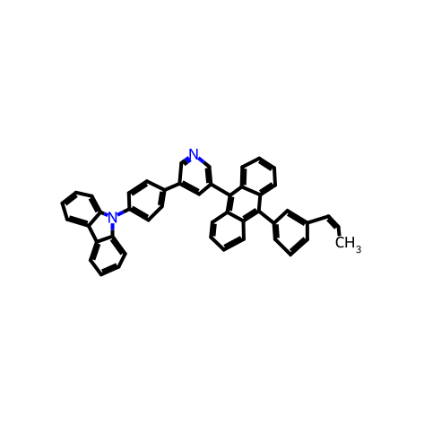 C/C=C\c1cccc(-c2c3ccccc3c(-c3cncc(-c4ccc(-n5c6ccccc6c6ccccc65)cc4)c3)c3ccccc23)c1